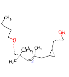 CCCCOCC(C)(C)/C=C(\C)CC1CC1CCO